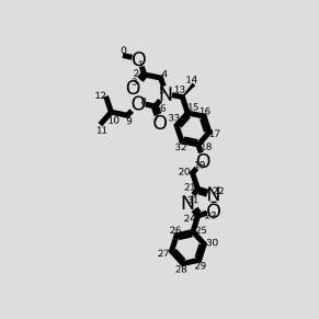 COC(=O)CN(C(=O)OCC(C)C)[C@@H](C)c1ccc(OCc2noc(-c3ccccc3)n2)cc1